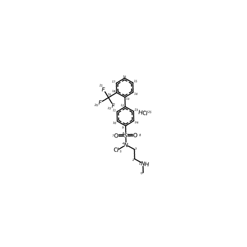 CNCCN(Cl)S(=O)(=O)c1ccc(-c2ccccc2C(F)(F)F)cc1.Cl